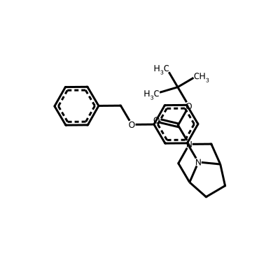 CC(C)(C)OC(=O)N1CC2CCC(C1)N2c1cccc(OCc2ccccc2)c1